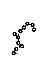 c1ccc(-c2cccc(-c3cccc(-c4ccc(-c5ccc(-n6c7ccccc7c7cc(-c8ccc9c(c8)c8ccccc8n9-c8ccc9c(c8)oc8ccccc89)ccc76)cc5)cc4)c3)c2)cc1